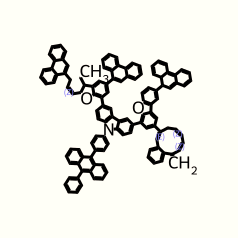 C=C1/C=C\C=C/C/C(c2cc(-c3ccc4c(c3)c3cc(-c5cc(-c6cc7ccccc7c7ccccc67)cc6c5OC(/C=C\Cc5cc7ccccc7c7ccccc57)C6CC)ccc3n4-c3ccc(-c4c5ccccc5c(-c5ccccc5)c5ccccc45)cc3)c3oc4ccc(C5C=c6ccccc6=C6C=CC=CC65)cc4c3c2)=C\c2ccccc21